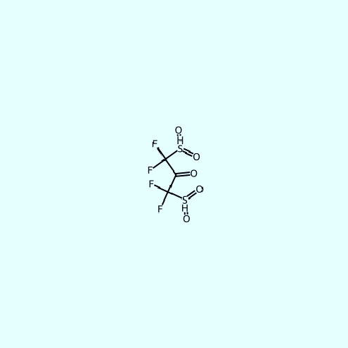 O=C(C(F)(F)[SH](=O)=O)C(F)(F)[SH](=O)=O